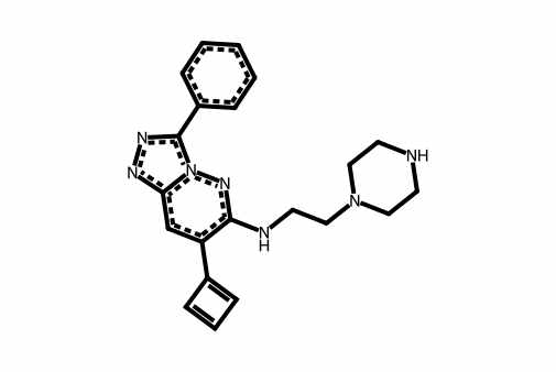 C1=CC(c2cc3nnc(-c4ccccc4)n3nc2NCCN2CCNCC2)=C1